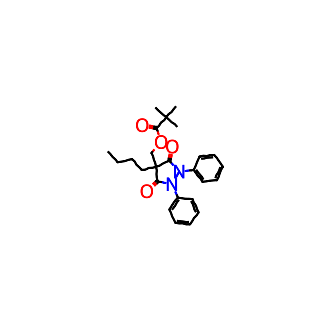 CCCCC1(COC(=O)C(C)(C)C)C(=O)N(c2ccccc2)N(c2ccccc2)C1=O